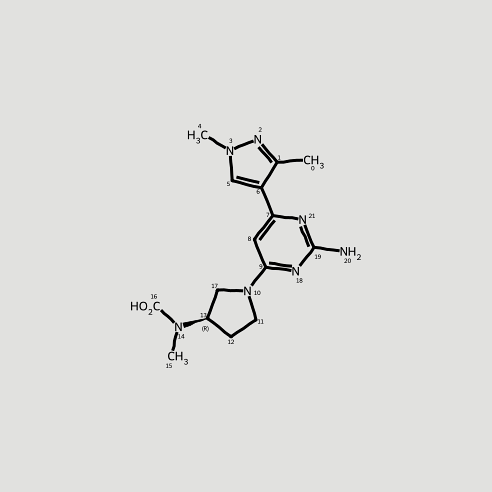 Cc1nn(C)cc1-c1cc(N2CC[C@@H](N(C)C(=O)O)C2)nc(N)n1